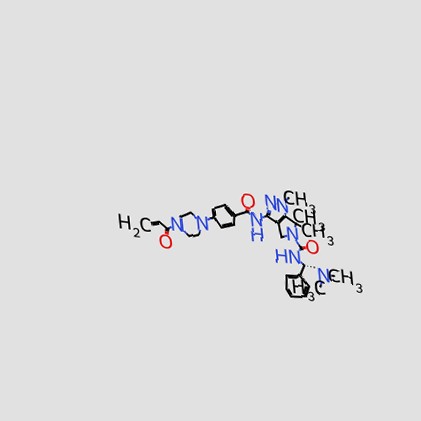 C=CC(=O)N1CCN(c2ccc(C(=O)Nc3nn(C)c4c3CN(C(=O)N[C@H](CN(C)C)c3ccccc3)C4(C)C)cc2)CC1